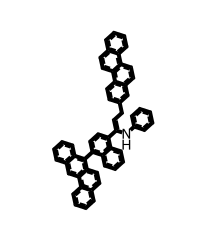 C(/Cc1ccc2c(ccc3c4ccccc4ccc23)c1)=C(/Nc1ccccc1)c1ccc(-c2c3ccccc3cc3c2ccc2ccccc23)c2ccccc12